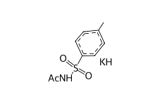 CC(=O)NS(=O)(=O)c1ccc(C)cc1.[KH]